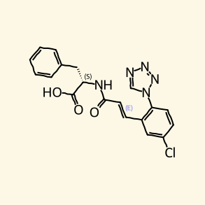 O=C(/C=C/c1cc(Cl)ccc1-n1cnnn1)N[C@@H](Cc1ccccc1)C(=O)O